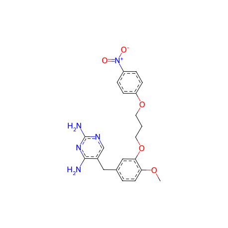 COc1ccc(Cc2cnc(N)nc2N)cc1OCCCOc1ccc([N+](=O)[O-])cc1